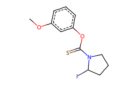 COc1cccc(OC(=S)N2CCCC2I)c1